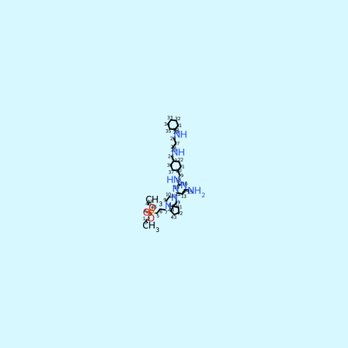 CCOP(=O)(CCCN1CCN(c2cc(N)nc(NCC3CCC(CNCCCNC4CCCCC4)CC3)n2)CC12CCCC2)OCC